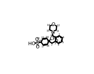 CC1(Cc2ccccc2CN2CCOCC2)C=CC(S(=O)(=O)O)C=C1